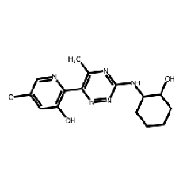 Cc1nc(NC2CCCCC2O)nnc1-c1ncc(Cl)cc1O